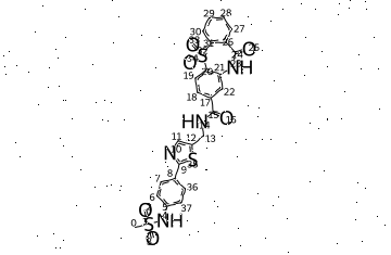 CS(=O)(=O)Nc1ccc(-c2ncc(CNC(=O)c3ccc4c(c3)NC(=O)c3ccccc3S4(=O)=O)s2)cc1